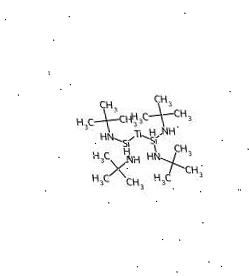 CC(C)(C)N[SiH](NC(C)(C)C)[Ti][SiH](NC(C)(C)C)NC(C)(C)C